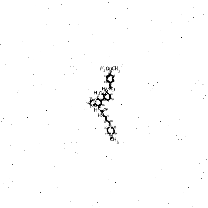 Cc1c(NC(=O)c2ccc(N(C)C)cc2)cccc1-c1cc(NC(=O)NCCCN2CCN(C)CC2)c2nccn2c1